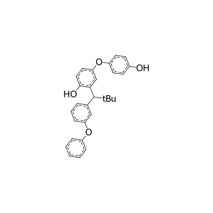 CC(C)(C)C(c1cccc(Oc2ccccc2)c1)c1cc(Oc2ccc(O)cc2)ccc1O